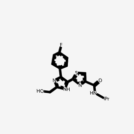 CC(C)NC(=O)c1csc(-c2[nH]c(CO)nc2-c2ccc(F)cc2)n1